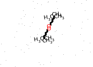 CC(C)(C)CC=CCCOOCCC=CCC(C)(C)C